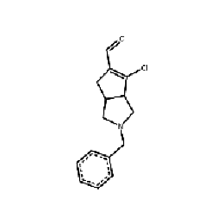 O=CC1=C(Cl)C2CN(Cc3ccccc3)CC2C1